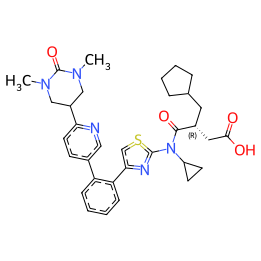 CN1CC(c2ccc(-c3ccccc3-c3csc(N(C(=O)[C@@H](CC(=O)O)CC4CCCC4)C4CC4)n3)cn2)CN(C)C1=O